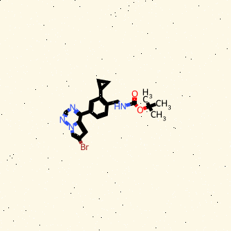 CC(C)(C)OC(=O)NCc1ccc(-c2ncnn3cc(Br)cc23)cc1C1CC1